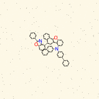 c1ccc(-c2ccc(N(c3ccc4ccccc4c3)c3cccc4oc5c6ccccc6c(-c6cccc7oc(-c8ccccc8)nc67)cc5c34)cc2)cc1